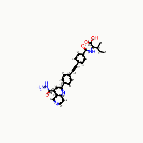 CCC(C)C(NC(=O)c1ccc(C#Cc2ccc(-c3cc(C(=O)NN)c4cnccc4n3)cc2)cc1)C(=O)O